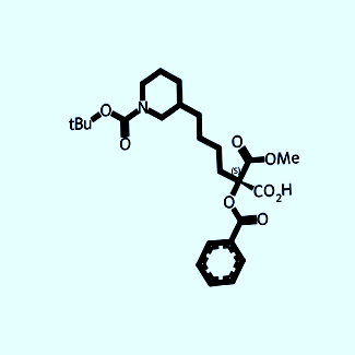 COC(=O)[C@@](CCCCC1CCCN(C(=O)OC(C)(C)C)C1)(OC(=O)c1ccccc1)C(=O)O